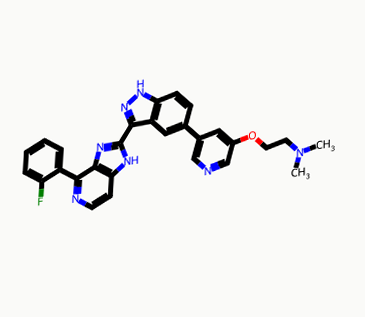 CN(C)CCOc1cncc(-c2ccc3[nH]nc(-c4nc5c(-c6ccccc6F)nccc5[nH]4)c3c2)c1